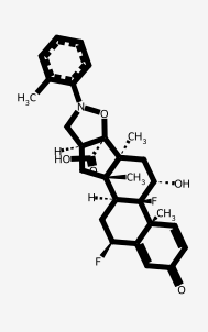 Cc1ccccc1N1C[C@@H]2C[C@@]3(C)[C@@H]4C[C@H](F)C5=CC(=O)C=C[C@]5(C)[C@@]4(F)[C@@H](O)C[C@]3(C)[C@]2(C(=O)O)O1